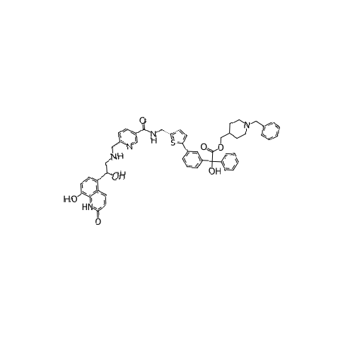 O=C(NCc1ccc(-c2cccc(C(O)(C(=O)OCC3CCN(Cc4ccccc4)CC3)c3ccccc3)c2)s1)c1ccc(CNCC(O)c2ccc(O)c3[nH]c(=O)ccc23)nc1